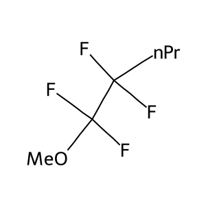 CCCC(F)(F)C(F)(F)OC